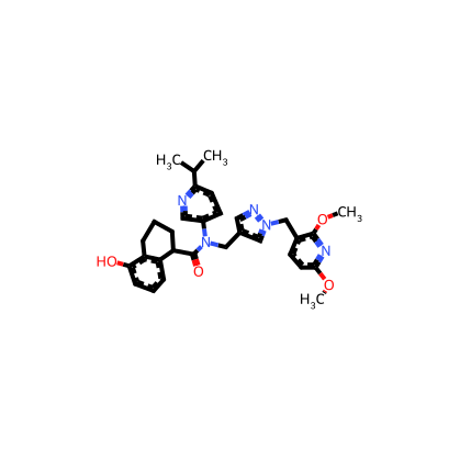 COc1ccc(Cn2cc(CN(C(=O)C3CCCc4c(O)cccc43)c3ccc(C(C)C)nc3)cn2)c(OC)n1